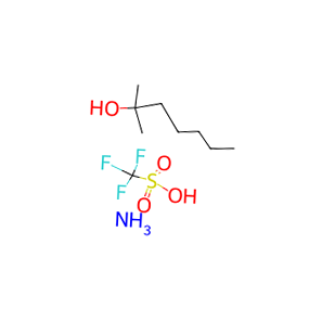 CCCCCC(C)(C)O.N.O=S(=O)(O)C(F)(F)F